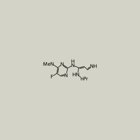 CCCN/C(=C\C=N)Nc1ncc(F)c(NC)n1